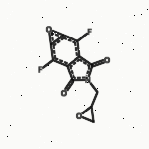 O=c1c2c(F)c3oc3c(F)c2c(=O)n1CC1CO1